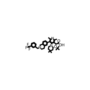 Cc1nc(C)c([C@H](OC(C)(C)C)C(=O)O)c(N2CCC(C)(C)CC2)c1-c1ccc2c(c1)CCN(Cc1cccc(C(F)(F)F)c1)C2